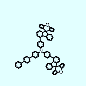 c1ccc(-c2ccc(-c3ccc(N(c4ccc(-c5cccc6c5-c5ccccc5C65c6ccccc6Oc6ccccc65)cc4)c4ccc(-c5cccc6c5-c5ccccc5C65c6ccccc6Oc6ccccc65)cc4)cc3)cc2)cc1